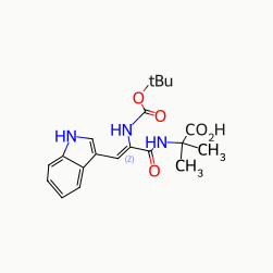 CC(C)(C)OC(=O)N/C(=C\c1c[nH]c2ccccc12)C(=O)NC(C)(C)C(=O)O